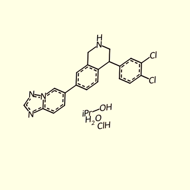 CC(C)O.Cl.Clc1ccc(C2CNCc3cc(-c4ccc5ncnn5c4)ccc32)cc1Cl.O